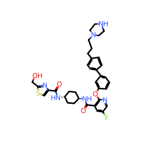 O=C(N[C@H]1CC[C@H](NC(=O)c2cc(F)cnc2Oc2cccc(-c3ccc(CCCN4CCNCC4)cc3)c2)CC1)c1csc(CO)n1